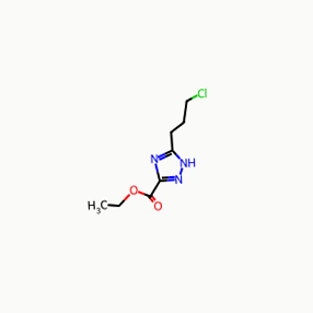 CCOC(=O)c1n[nH]c(CCCCl)n1